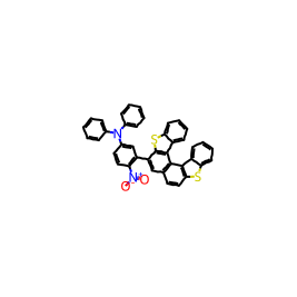 O=[N+]([O-])c1ccc(N(c2ccccc2)c2ccccc2)cc1-c1cc2ccc3sc4ccccc4c3c2c2c1sc1ccccc12